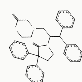 O=C1CN(CC(C(c2ccccc2)c2ccccc2)N2CCC(c3ccccc3)(c3ccccc3)C2=O)CCN1